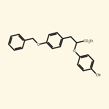 CCOC(=O)C(Cc1ccc(OCc2ccccc2)cc1)Oc1ccc(C#N)cc1